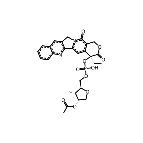 CC[C@@]1(OP(=O)(O)OC[C@H]2OC[C@H](OC(C)=O)[C@@H]2C)C(=O)OCc2c1cc1n(c2=O)Cc2cc3ccccc3nc2-1